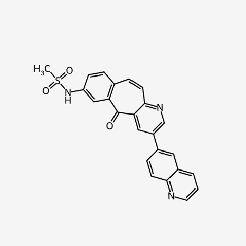 CS(=O)(=O)Nc1ccc2ccc3ncc(-c4ccc5ncccc5c4)cc3c(=O)c2c1